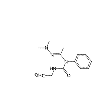 C/C(=N\N(C)C)N(C(=O)NC[C]=O)c1ccccc1